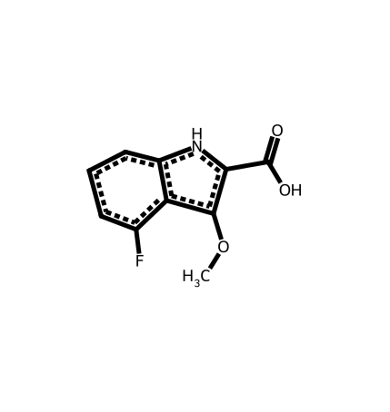 COc1c(C(=O)O)[nH]c2cccc(F)c12